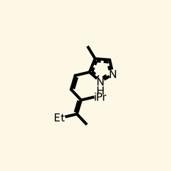 CC/C(C)=C(\C=C/c1[nH]ncc1C)C(C)C